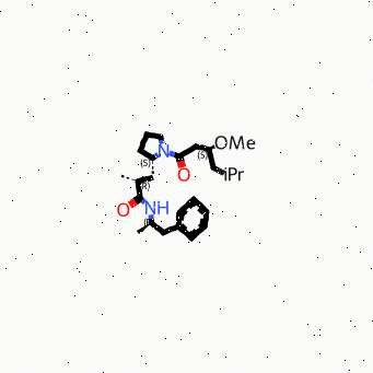 CO[C@H](CC(=O)N1CCC[C@H]1C[C@@H](C)C(=O)N[C@H](C)Cc1ccccc1)CC(C)C